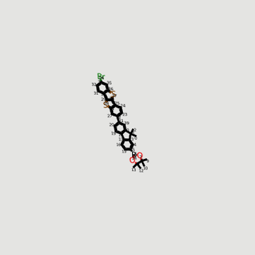 CC1(C)c2cc(B3OC(C)(C)C(C)(C)O3)ccc2-c2ccc(-c3ccc4c(c3)sc3c5ccc(Br)cc5sc43)cc21